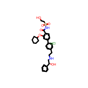 Cl.O=C(NS(=O)(=O)CCO)c1ccc(-c2ccc(CCNC[C@@H](O)c3ccccc3)cc2)cc1OC1CCCCC1